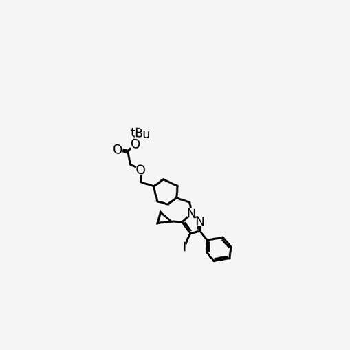 CC(C)(C)OC(=O)COCC1CCC(Cn2nc(-c3ccccc3)c(I)c2C2CC2)CC1